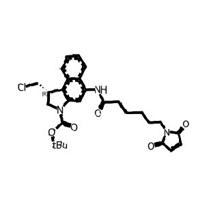 CC(C)(C)OC(=O)N1C[C@H](CCl)c2c1cc(NC(=O)CCCCCN1C(=O)C=CC1=O)c1ccccc21